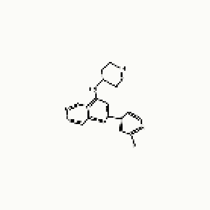 Fc1cc(-c2cc(NC3CCNCC3)c3cnccc3c2)ccn1